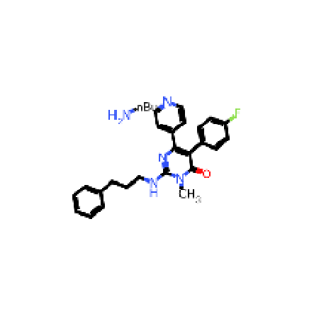 CCCCN.Cn1c(NCCCc2ccccc2)nc(-c2ccncc2)c(-c2ccc(F)cc2)c1=O